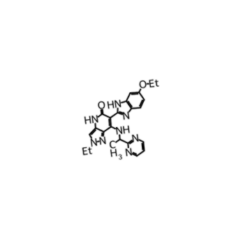 CCOc1ccc2nc(-c3c(NC(C)c4ncccn4)c4nn(CC)cc4[nH]c3=O)[nH]c2c1